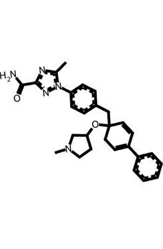 Cc1nc(C(N)=O)nn1-c1ccc(CC2(OC3CCN(C)C3)C=CC(c3ccccc3)=CC2)cc1